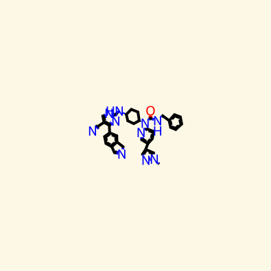 Cn1cc(-c2ccc(N(C(=O)NCc3ccccc3)[C@H]3CC[C@H](Nc4ncc(C#N)c(-c5ccc6c(c5)CN=C6)n4)CC3)nc2)cn1